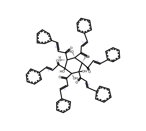 O=C(/C=C/c1ccccc1)[C@]1(O)[C@@](O)(C(=O)/C=C/c2ccccc2)[C@](O)(C(=O)/C=C/c2ccccc2)[C@@](O)(C(=O)/C=C/c2ccccc2)[C@](O)(C(=O)/C=C/c2ccccc2)[C@]1(O)C(=O)/C=C/c1ccccc1